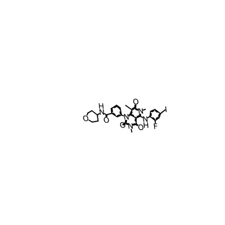 Cc1c(=O)n(C)c(Nc2ccc(I)cc2F)c2c(=O)n(C)c(=O)n(-c3cccc(C(=O)NC4CCOCC4)c3)c12